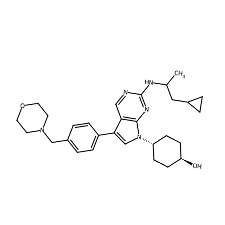 CC(CC1CC1)Nc1ncc2c(-c3ccc(CN4CCOCC4)cc3)cn([C@H]3CC[C@H](O)CC3)c2n1